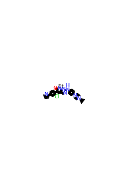 CCn1c(=O)c(-c2ccc(C3=CCC=N3)cc2Cl)cc2cnc(Nc3ccc(N4CCN(C5CC5)CC4)cc3)nc21